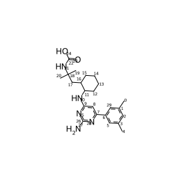 Cc1cc(C)cc(-c2cc(NC3CCCCC3CC(C)(C)NC(=O)O)nc(N)n2)c1